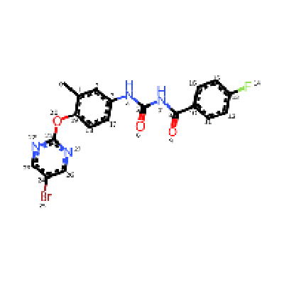 Cc1cc(NC(=O)NC(=O)c2ccc(F)cc2)ccc1Oc1ncc(Br)cn1